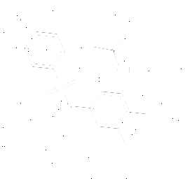 CC(=O)O.Cc1cc(NS(=O)(=O)c2ccccc2)ccc1O